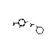 O=C(Nc1ccc(C(=O)O)c(O)c1)OC1CCCCC1